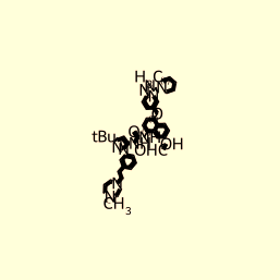 C[C@H]1CCCCN1c1nnc2ccc(O[C@@H]3CC[C@H](NC(=O)Nc4cc(C(C)(C)C)nn4-c4cccc(CCN5CCCN(C)CC5)c4)c4ccccc43)cn12.O=CO